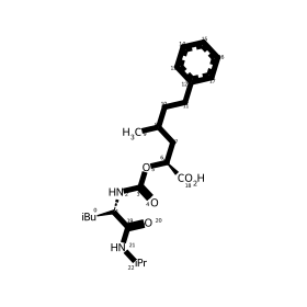 CC[C@H](C)[C@H](NC(=O)O[C@@H](CC(C)CCc1ccccc1)C(=O)O)C(=O)NC(C)C